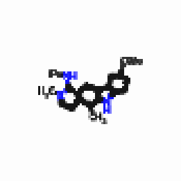 COc1ccc2[nH]c3c(C)c4cc[n+](C)c(NC(C)C)c4cc3c2c1